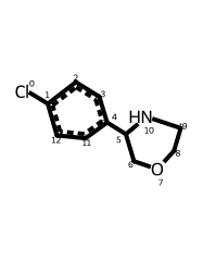 Clc1ccc(C2COC[CH]N2)cc1